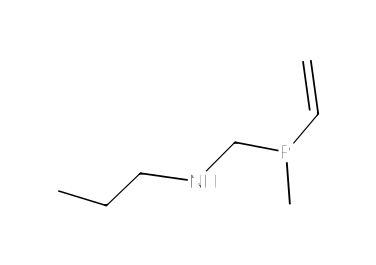 C=CP(C)CNCCC